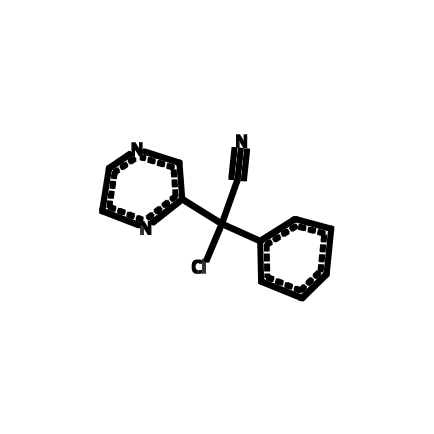 N#CC(Cl)(c1ccccc1)c1cnccn1